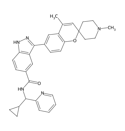 CC1=CC2(CCN(C)CC2)Oc2ccc(-c3n[nH]c4ccc(C(=O)NC(c5ccccn5)C5CC5)cc34)cc21